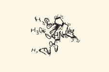 CCOC(=O)C(=CNc1ccnn1Cc1ccc(OC)cc1)C(=O)OCC